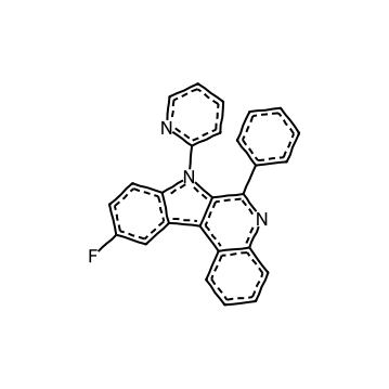 Fc1ccc2c(c1)c1c3ccccc3nc(-c3ccccc3)c1n2-c1ccccn1